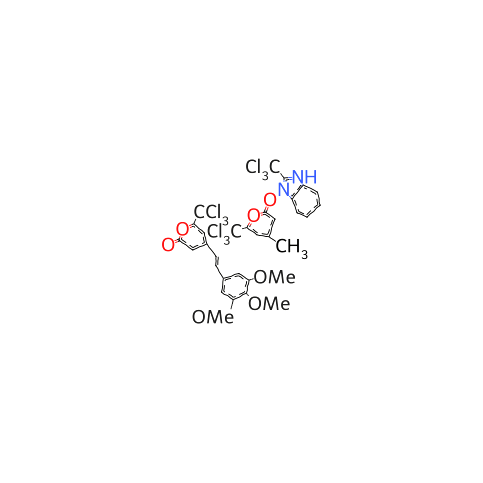 COc1cc(C=Cc2cc(C(Cl)(Cl)Cl)oc(=O)c2)cc(OC)c1OC.Cc1cc(C(Cl)(Cl)Cl)oc(=O)c1.ClC(Cl)(Cl)c1nc2ccccc2[nH]1